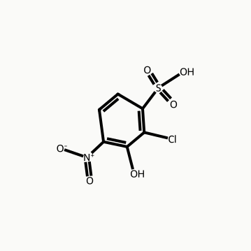 O=[N+]([O-])c1ccc(S(=O)(=O)O)c(Cl)c1O